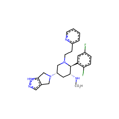 O=C(O)N[C@@H]1C[C@H](N2Cc3cn[nH]c3C2)CN(CCc2ccccn2)[C@H]1c1cc(F)ccc1F